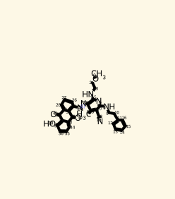 COCCNc1nc(NCCc2ccccc2)c(C#N)c(C)c1/N=N/c1cccc2c1C(=O)c1cccc(O)c1C2=O